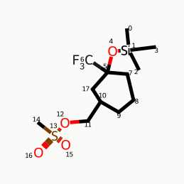 C[Si](C)(C)OC1(C(F)(F)F)CCCC(COS(C)(=O)=O)C1